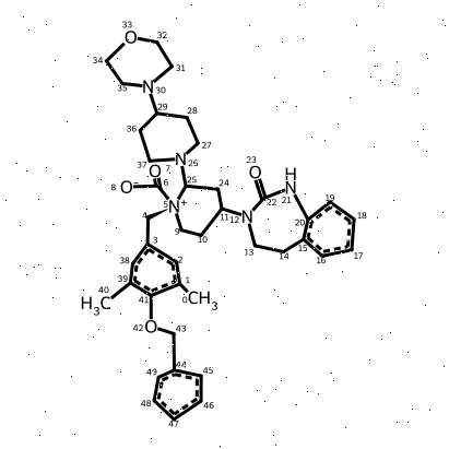 Cc1cc(C[N@+]2(C(=O)[O-])CCC(N3CCc4ccccc4NC3=O)CC2N2CCC(N3CCOCC3)CC2)cc(C)c1OCc1ccccc1